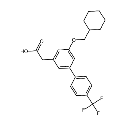 O=C(O)Cc1cc(OCC2CCCCC2)cc(-c2ccc(C(F)(F)F)cc2)c1